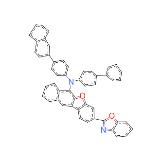 c1ccc(-c2ccc(N(c3ccc(-c4ccc5ccccc5c4)cc3)c3c4ccccc4cc4c3oc3cc(-c5nc6ccccc6o5)ccc34)cc2)cc1